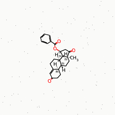 C[C@]12CC[C@H]3[C@@H](CCC4=CC(=O)CC[C@@H]43)[C@@H]1[C@@H](OC(=O)c1ccccc1)CC2=O